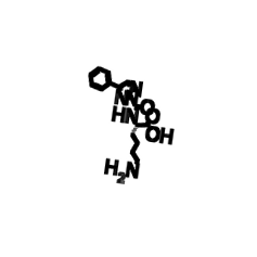 NCCCC[C@H](NC(=O)n1ncc(-c2ccccc2)n1)C(=O)O